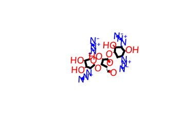 [N-]=[N+]=NC[C@@H]1O[C@H](O[C@H]2[C@@H](O)[C@H](O[C@H]3CC(N=[N+]=[N-])[C@H](O)C(N=[N+]=[N-])[C@@H]3O)O[C@@H]2C=O)C(N=[N+]=[N-])[C@@H](O)[C@@H]1O